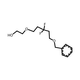 OCCOCCC(F)(F)CCOCc1ccccc1